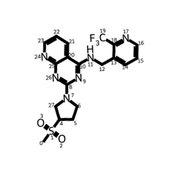 CS(=O)(=O)C1CCN(c2nc(NCc3cccnc3C(F)(F)F)c3cccnc3n2)C1